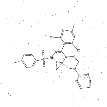 Cc1ccc(S(=O)(=O)N/N=C(/c2c(Cl)cc(F)cc2Cl)N2CCN(c3ncccn3)CC23CC3)cc1